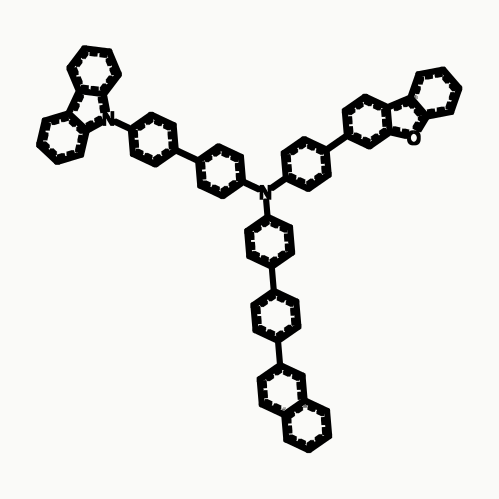 c1ccc2cc(-c3ccc(-c4ccc(N(c5ccc(-c6ccc(-n7c8ccccc8c8ccccc87)cc6)cc5)c5ccc(-c6ccc7c(c6)oc6ccccc67)cc5)cc4)cc3)ccc2c1